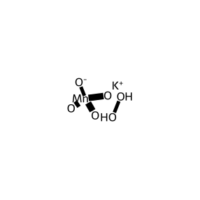 OO.[K+].[O]=[Mn](=[O])(=[O])[O-]